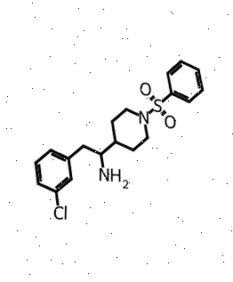 NC(Cc1cccc(Cl)c1)C1CCN(S(=O)(=O)c2ccccc2)CC1